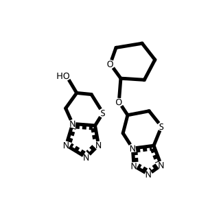 C1CCC(OC2CSc3nnnn3C2)OC1.OC1CSc2nnnn2C1